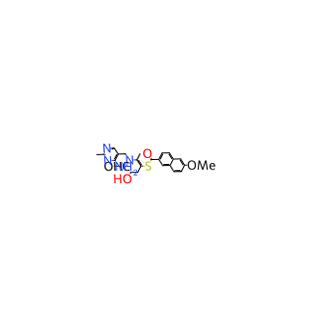 COc1ccc2cc(C(=O)SC(CCO)=C(C)N(C=O)Cc3cnc(C)nc3N)ccc2c1